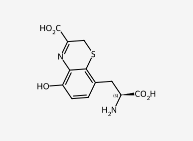 N[C@@H](Cc1ccc(O)c2c1SCC(C(=O)O)=N2)C(=O)O